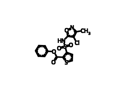 Cc1noc(NS(=O)(=O)c2ccsc2C(=O)Oc2ccccc2)c1Cl